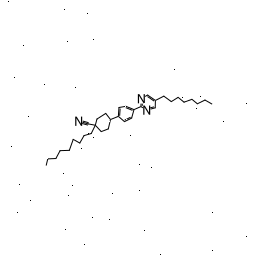 CCCCCCCCCC1(C#N)CCC(c2ccc(-c3ncc(CCCCCCCC)cn3)cc2)CC1